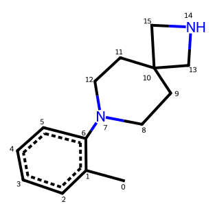 Cc1ccccc1N1CCC2(CC1)CNC2